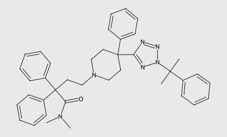 CN(C)C(=O)C(CCN1CCC(c2ccccc2)(c2nnn(C(C)(C)c3ccccc3)n2)CC1)(c1ccccc1)c1ccccc1